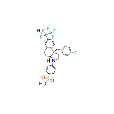 CC(F)(c1ccc2c(c1)CC[C@H]1N(c3ccc(S(C)(=O)=O)cc3)CC[C@@]21Cc1ccc(F)cc1)C(F)(F)F